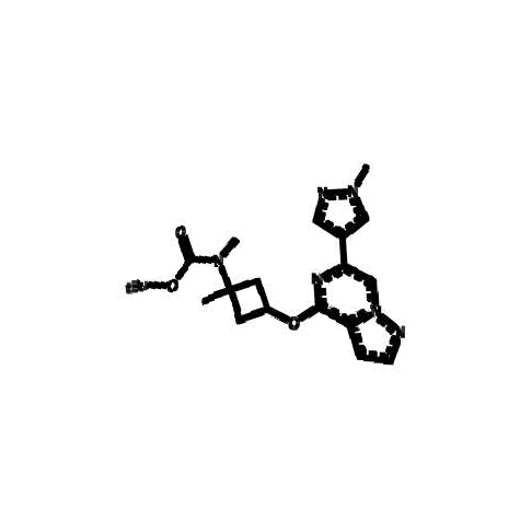 CN(C(=O)OC(C)(C)C)C1(C)CC(Oc2nc(-c3cnn(C)c3)cn3nccc23)C1